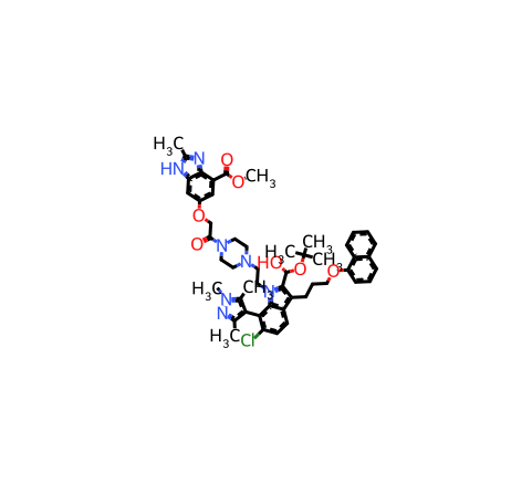 COC(=O)c1cc(OCC(=O)N2CCN(CCn3c(C(O)OC(C)(C)C)c(CCCOc4cccc5ccccc45)c4ccc(Cl)c(-c5c(C)nn(C)c5C)c43)CC2)cc2[nH]c(C)nc12